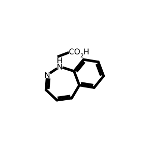 C1=Cc2ccccc2NN=C1.CC(=O)O